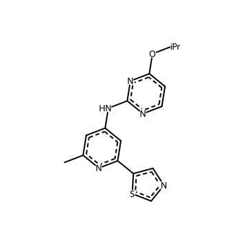 Cc1cc(Nc2nccc(OC(C)C)n2)cc(-c2cncs2)n1